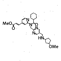 COC(=O)/C=C/c1ccnc(N(Cc2ncc(CNC3CCC(OC)C3)cn2)C(=O)C2CCCCC2)c1